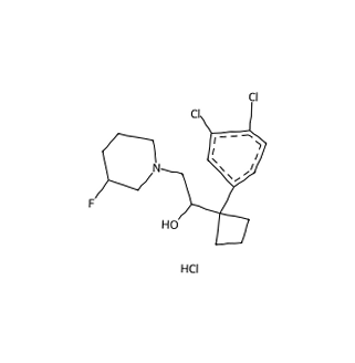 Cl.OC(CN1CCCC(F)C1)C1(c2ccc(Cl)c(Cl)c2)CCC1